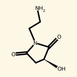 NCCN1C(=O)C[C@H](O)C1=O